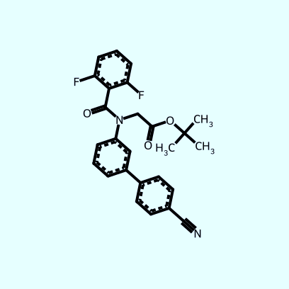 CC(C)(C)OC(=O)CN(C(=O)c1c(F)cccc1F)c1cccc(-c2ccc(C#N)cc2)c1